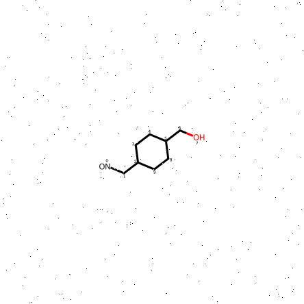 O=NCC1CCC(CO)CC1